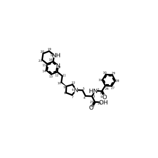 O=C(NC(CCN1CC[C@@H](CCc2ccc3c(n2)NCCC3)C1)C(=O)O)c1ccccc1